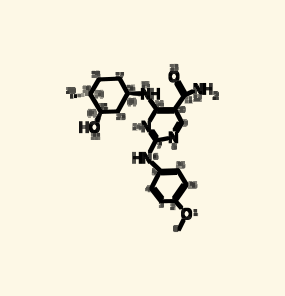 COc1ccc(Nc2ncc(C(N)=O)c(N[C@@H]3CC[C@@H](C)[C@H](O)C3)n2)cc1